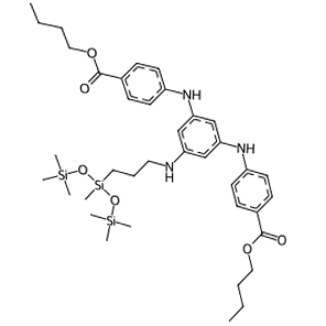 CCCCOC(=O)c1ccc(Nc2cc(NCCC[Si](C)(O[Si](C)(C)C)O[Si](C)(C)C)cc(Nc3ccc(C(=O)OCCCC)cc3)c2)cc1